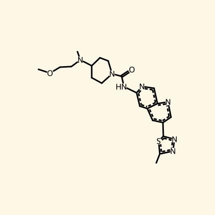 COCCN(C)C1CCN(C(=O)Nc2cc3cc(-c4nnc(C)s4)cnc3cn2)CC1